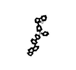 c1ccc(N(c2ccc(-c3cccc(-c4cccc5c4ccc4ccccc45)c3)cc2)c2ccc(-c3cccc4c3oc3ccccc34)cc2)cc1